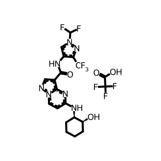 O=C(Nc1cn(C(F)F)nc1C(F)(F)F)c1cnn2ccc(N[C@@H]3CCCC[C@@H]3O)nc12.O=C(O)C(F)(F)F